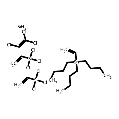 C=C[Si](Cl)(Cl)Cl.C=C[Si](Cl)(Cl)Cl.C=[CH][Sn]([CH2]CCC)([CH2]CCC)[CH2]CCC.ClC=C(Cl)Cl.[SiH4]